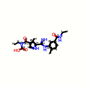 CCNC(=O)c1ccc(C)c(NC(=N)c2[nH]cc(C(=O)N(CC)C(=O)O)c2C)c1